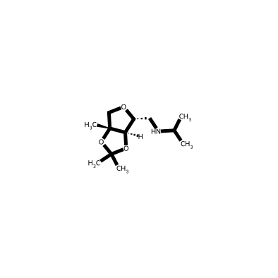 CC(C)NC[C@H]1OC[C@@]2(C)OC(C)(C)O[C@H]12